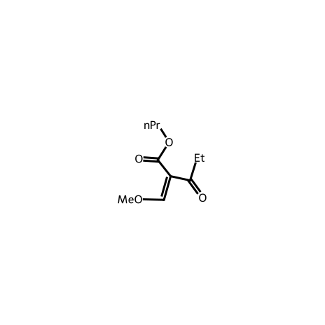 CCCOC(=O)/C(=C\OC)C(=O)CC